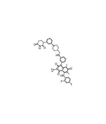 Cc1c(=O)n(C)c(Nc2ccc(I)cc2F)c2c(=O)n(C3CC3)c(=O)n(-c3cccc(NCC4CCN(c5cccc(C6CCC(=O)NC6=O)c5)CC4)c3)c12